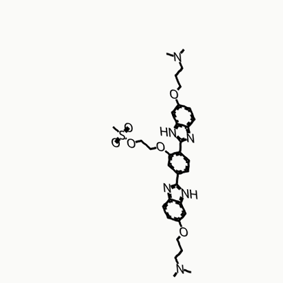 CN(C)CCCOc1ccc2nc(-c3ccc(-c4nc5ccc(OCCCN(C)C)cc5[nH]4)c(OCCOS(C)(=O)=O)c3)[nH]c2c1